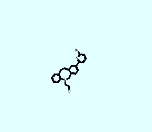 O=CCN1CC2=CC=C(c3cccc(Br)n3)C/C2=C/Cc2ccccc21